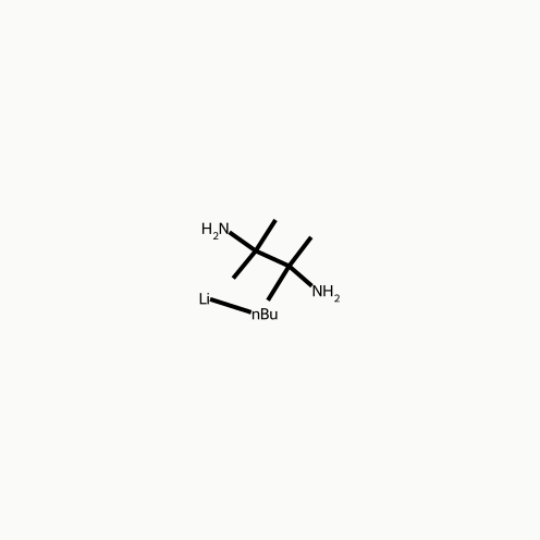 CC(C)(N)C(C)(C)N.[Li][CH2]CCC